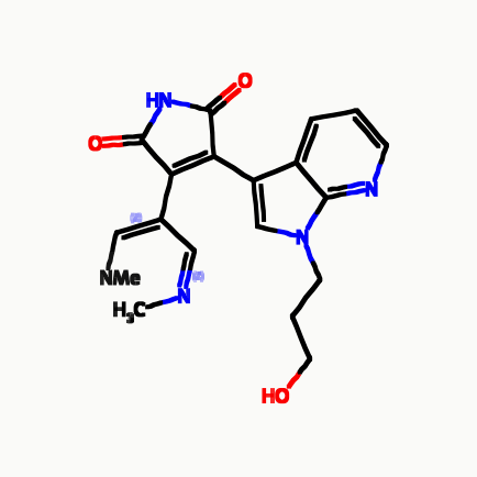 C/N=C\C(=C/NC)C1=C(c2cn(CCCO)c3ncccc23)C(=O)NC1=O